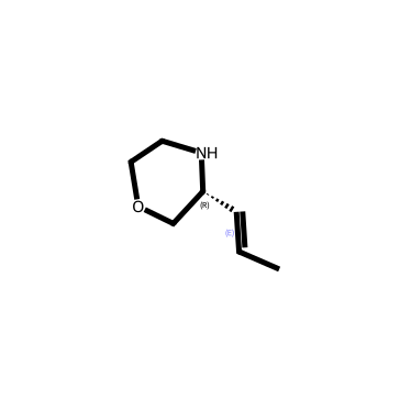 C/C=C/[C@@H]1COCCN1